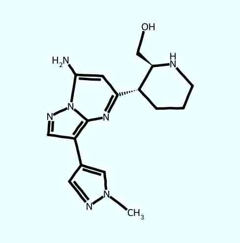 Cn1cc(-c2cnn3c(N)cc([C@H]4CCCN[C@@H]4CO)nc23)cn1